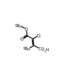 CC(C)(C)OC(=O)C(Cl)=C(C(=O)O)C(C)(C)C